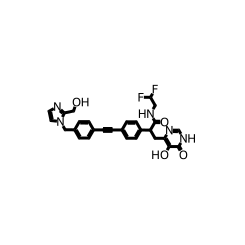 O=C(NCC(F)F)C(Cc1nc[nH]c(=O)c1O)c1ccc(C#Cc2ccc(Cn3ccnc3CO)cc2)cc1